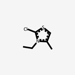 CC[n+]1c(C)csc1Cl